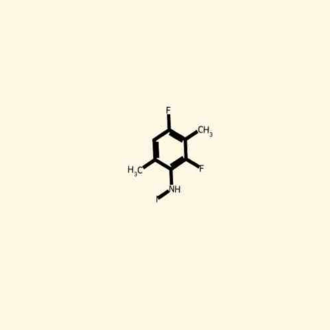 Cc1cc(F)c(C)c(F)c1NI